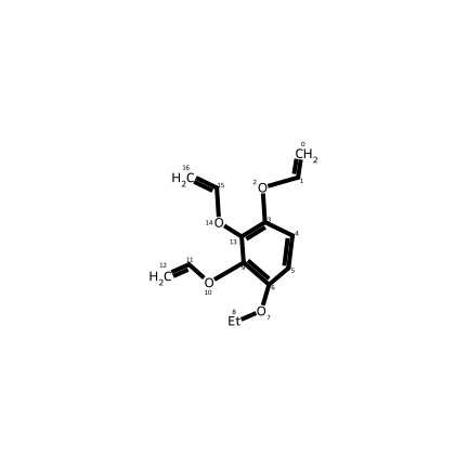 C=COc1ccc(OCC)c(OC=C)c1OC=C